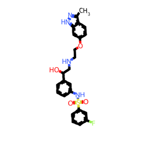 Cc1n[nH]c2cc(OCCNCC(O)c3cccc(NS(=O)(=O)c4cccc(F)c4)c3)ccc12